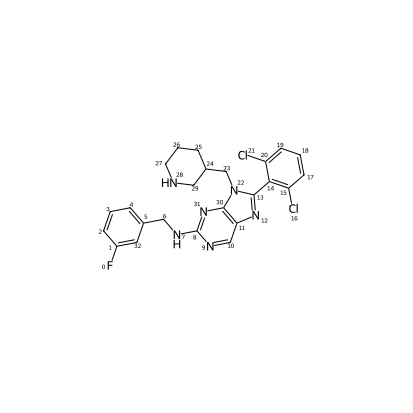 Fc1cccc(CNc2ncc3nc(-c4c(Cl)cccc4Cl)n(CC4CCCNC4)c3n2)c1